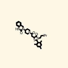 Cc1cc(C)c(C2SC(CC(=O)N3CCC(N4Cc5ccccc5NC4=O)CC3)C(=O)N2CCC(C)C)c(C)c1